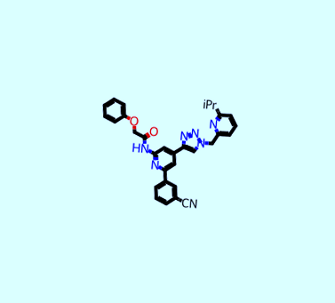 CC(C)c1cccc(Cn2cc(-c3cc(NC(=O)COc4ccccc4)nc(-c4cccc(C#N)c4)c3)nn2)n1